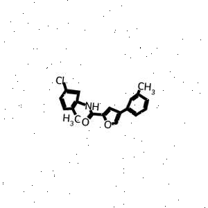 Cc1cccc(-c2coc(C(=O)Nc3cc(Cl)ccc3C)c2)c1